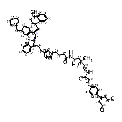 C[n+]1ccc(/C=C(/C=C2\Sc3ccccc3N2CCc2cn(CCCC(=O)NCC[N+](C)(C)CCNC(=O)COc3ccc(N(CCCl)CCCl)cc3)nn2)c2ccc(CN3CCOCC3)cc2)c2ccccc21